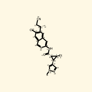 CC[C@@H]1[C@@H](C(=O)Nc2cc3cc([C@@H](C)CC#N)c(Cl)cc3cn2)[C@@H]1c1cnn(C)c1